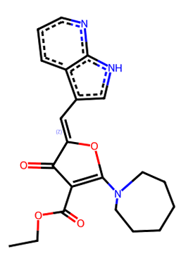 CCOC(=O)C1=C(N2CCCCCC2)O/C(=C\c2c[nH]c3ncccc23)C1=O